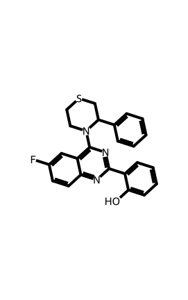 Oc1ccccc1-c1nc(N2CCSCC2c2ccccc2)c2cc(F)ccc2n1